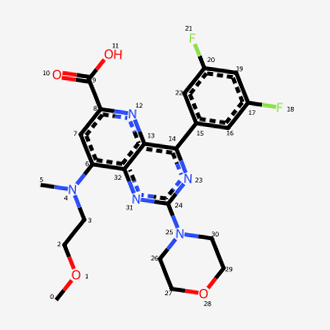 COCCN(C)c1cc(C(=O)O)nc2c(-c3cc(F)cc(F)c3)nc(N3CCOCC3)nc12